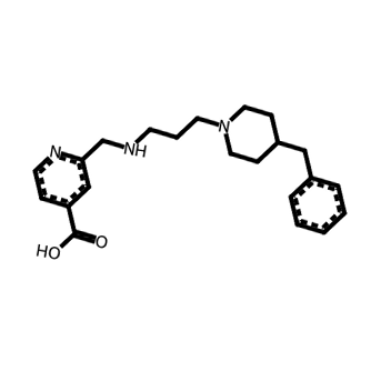 O=C(O)c1ccnc(CNCCCN2CCC(Cc3ccccc3)CC2)c1